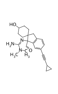 CN(C)/C(N)=N\C1(C=O)c2cc(C#CC3CC3)ccc2CC12CCC(O)CC2